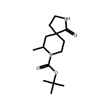 CC1CC2(CCNC2=O)CCN1C(=O)OC(C)(C)C